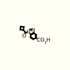 O=C(O)c1ccc2c(c1)ncn2C(=O)C1CCC1